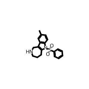 Cc1ccc2c(c1)c1c(n2S(=O)(=O)c2ccccc2)CCCNC1